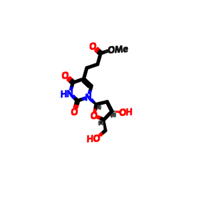 COC(=O)CCc1cn([C@H]2C[C@H](O)[C@@H](CO)O2)c(=O)[nH]c1=O